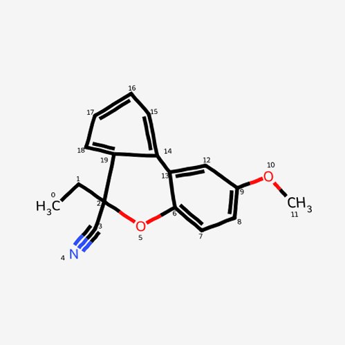 CCC1(C#N)Oc2ccc(OC)cc2-c2ccccc21